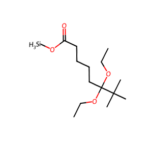 CCOC(CCCCC(=O)O[SiH3])(OCC)C(C)(C)C